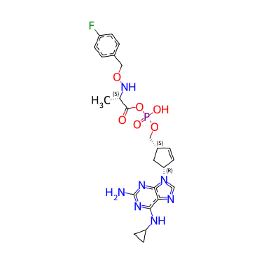 C[C@H](NOCc1ccc(F)cc1)C(=O)OP(=O)(O)OC[C@@H]1C=C[C@H](n2cnc3c(NC4CC4)nc(N)nc32)C1